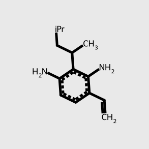 C=Cc1ccc(N)c(C(C)CC(C)C)c1N